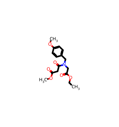 CCOC(=O)CN(Cc1ccc(OC)cc1)C(=O)CC(=O)OC